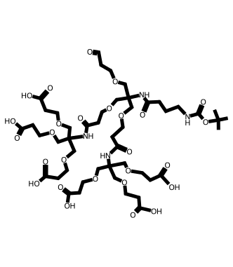 CC(C)(C)OC(=O)NCCCC(=O)NC(COCCC=O)(COCCC(=O)NC(COCCC(=O)O)(COCCC(=O)O)COCCC(=O)O)COCCC(=O)NC(COCCC(=O)O)(COCCC(=O)O)COCCC(=O)O